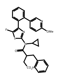 COc1ccc(-c2ccccc2-c2nc(N(C(=O)C(CC(=O)O)Cc3ccccc3)C3CC3)sc2F)cn1